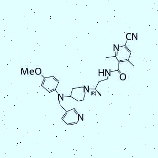 COc1ccc(N(Cc2cccnc2)C2CCN([C@H](C)CCNC(=O)c3c(C)cc(C#N)nc3C)CC2)cc1